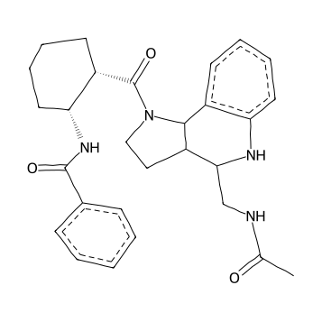 CC(=O)NCC1Nc2ccccc2C2C1CCN2C(=O)[C@H]1CCCC[C@H]1NC(=O)c1ccccc1